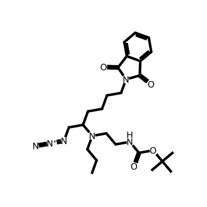 CCCN(CCNC(=O)OC(C)(C)C)C(CCCCN1C(=O)c2ccccc2C1=O)CN=[N+]=[N-]